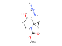 CC(C)(C)OC(=O)N1CC[C@@H](O)[C@H](N=[N+]=[N-])C12CC2